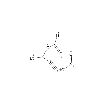 O=PO.[Li][C](=O)OC(C#C)CC